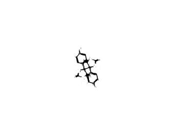 O=C1NC(=O)C(c2ccc(O)cc2)(C2(c3ccc(O)cc3)NC(=O)NC2=O)N1